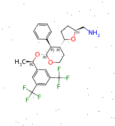 C[C@@H](O[C@H]1OCC[C@@H](C2CC[C@@H](CN)O2)[C@@H]1c1ccccc1)c1cc(C(F)(F)F)cc(C(F)(F)F)c1